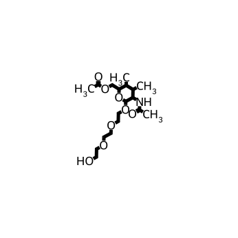 CC(=O)NC1C(OCCOCCOCCO)OC(COC(C)=O)C(C)C1C